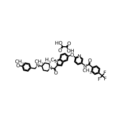 COc1ccc(CN(C)C2CCN(C(=O)c3cc4cc(Oc5ccc(N(C)C(=O)c6ccc(C(F)(F)F)cc6)cn5)ccc4n3C)CC2)cc1.O=C(O)C(=O)O